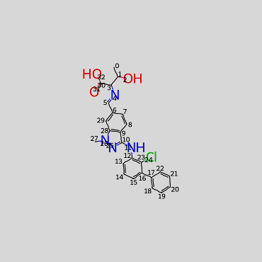 CC(O)C(N=Cc1ccc2c(Nc3cccc(-c4ccccc4)c3Cl)nn(C)c2c1)C(=O)O